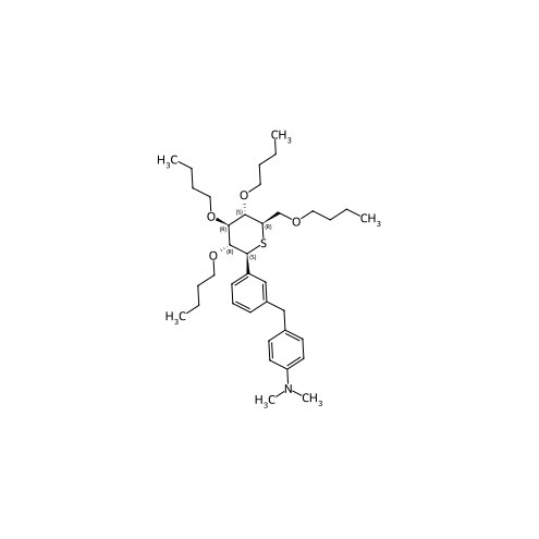 CCCCOC[C@H]1S[C@@H](c2cccc(Cc3ccc(N(C)C)cc3)c2)[C@H](OCCCC)[C@@H](OCCCC)[C@@H]1OCCCC